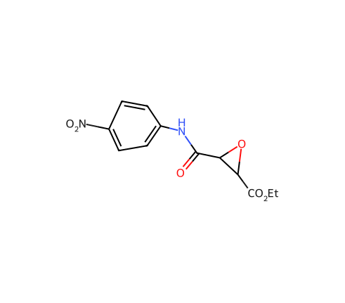 CCOC(=O)C1OC1C(=O)Nc1ccc([N+](=O)[O-])cc1